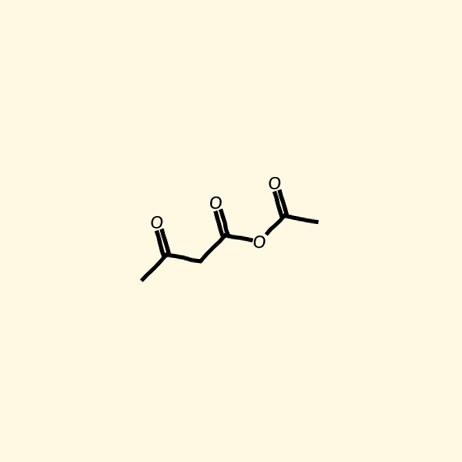 CC(=O)CC(=O)OC(C)=O